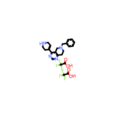 C1=C(c2ncnc3c2CN(Cc2ccccc2)CC3)CCNC1.O=C(O)C(F)(F)F.O=C(O)C(F)(F)F